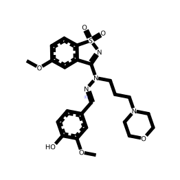 COc1ccc2c(c1)C(N(CCCN1CCOCC1)/N=C/c1ccc(O)c(OC)c1)=NS2(=O)=O